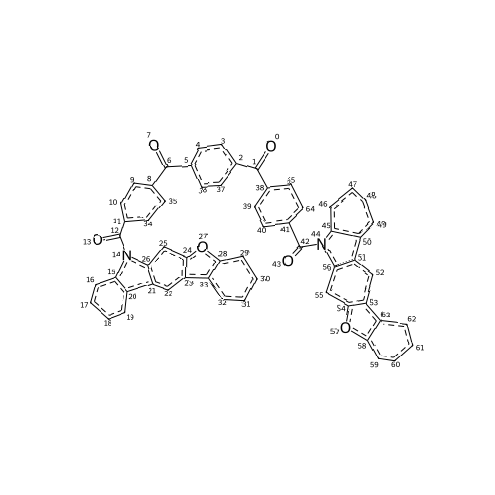 O=C(c1ccc(C(=O)c2ccc(C(=O)n3c4ccccc4c4cc5c(cc43)oc3ccccc35)cc2)cc1)c1ccc(C(=O)n2c3ccccc3c3cc4c(cc32)oc2ccccc24)cc1